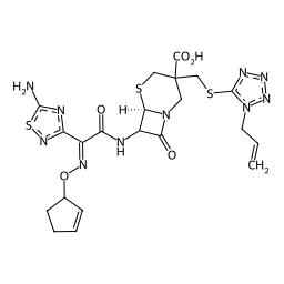 C=CCn1nnnc1SCC1(C(=O)O)CS[C@@H]2C(NC(=O)C(=NOC3C=CCC3)c3nsc(N)n3)C(=O)N2C1